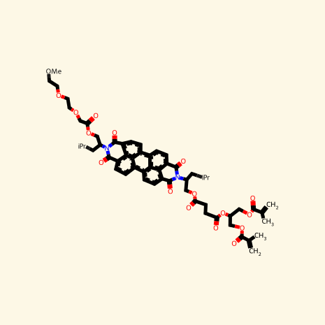 C=C(C)C(=O)OCC(COC(=O)C(=C)C)OC(=O)CCC(=O)OCC(CC(C)C)N1C(=O)c2ccc3c4ccc5c6c(ccc(c7ccc(c2c37)C1=O)c64)C(=O)N(C(COC(=O)COCCOCCOC)CC(C)C)C5=O